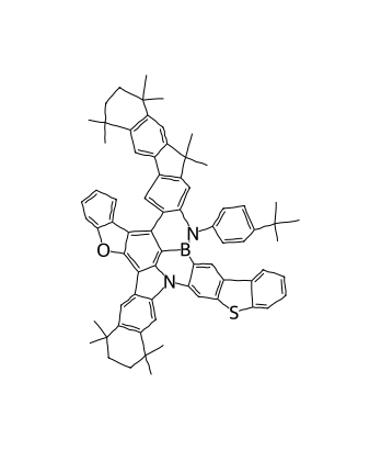 CC(C)(C)c1ccc(N2B3c4cc5c(cc4-n4c6cc7c(cc6c6c8oc9ccccc9c8c(c3c64)-c3cc4c(cc32)C(C)(C)c2cc3c(cc2-4)C(C)(C)CCC3(C)C)C(C)(C)CCC7(C)C)sc2ccccc25)cc1